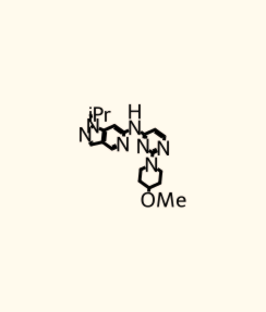 COC1CCN(c2nccc(Nc3cc4c(cn3)cnn4C(C)C)n2)CC1